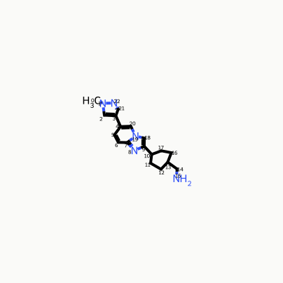 Cn1cc(-c2ccc3nc(C4CCC(CN)CC4)cn3c2)cn1